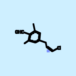 Cc1cc(C/C=C\Cl)cc(C)c1C=O